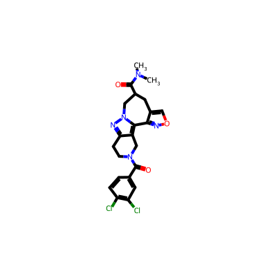 CN(C)C(=O)C1Cc2conc2-c2c3c(nn2C1)CCN(C(=O)c1ccc(Cl)c(Cl)c1)C3